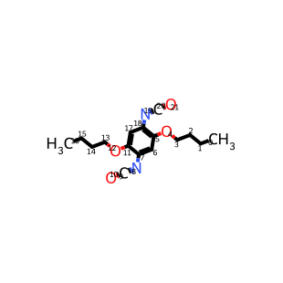 CCCCOc1cc(N=C=O)c(OCCCC)cc1N=C=O